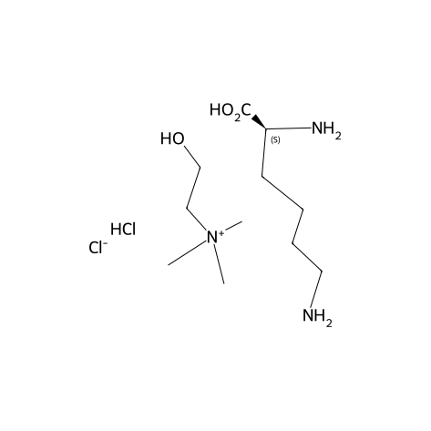 C[N+](C)(C)CCO.Cl.NCCCC[C@H](N)C(=O)O.[Cl-]